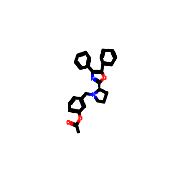 CC(=O)Oc1cccc(CN2CCC[C@@H]2c2nc(-c3ccccc3)c(-c3ccccc3)o2)c1